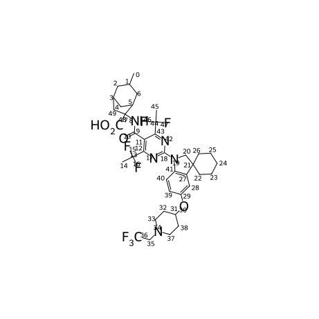 CC1CC2CC(C1)C(NC(=O)c1c(C(C)(F)F)nc(N3CC4(CCCCC4)c4cc(OC5CCN(CC(F)(F)F)CC5)ccc43)nc1C(C)(F)F)(C(=O)O)C2